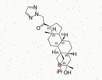 CC(C)OC[C@]12CC[C@@](C)(O)C[C@H]1CC[C@H]1[C@@H]3CC[C@H](C(=O)Cn4nccn4)[C@@]3(C)CC[C@@H]12